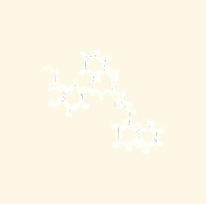 CCOc1cc(C2CC(CNCc3cccc4ccccc34)Oc3ccccc32)ccc1C